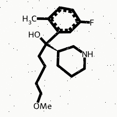 COCCCCC(O)(c1cc(F)ccc1C)[C@@H]1CCCNC1